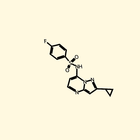 O=S(=O)(Nc1ccnc2cc(C3CC3)nn12)c1ccc(F)cc1